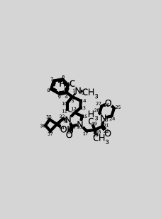 CN(C)[C@]1(c2ccccc2)CC[C@]2(CC1)CN(CC(C)(C)C(=O)N1CCOCC1)C(=O)N2CC1(O)CCC1